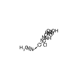 CN1CCN(CC#Cc2ccc(-c3nc4nc(O[C@@H]5CO[C@H]6[C@@H]5OC[C@H]6O)[nH]c4cc3Cl)cc2)CC1